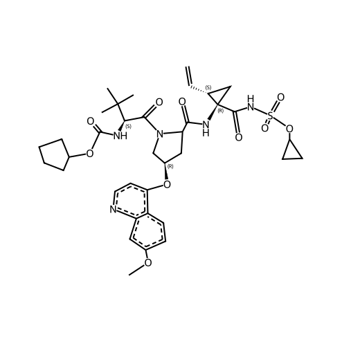 C=C[C@@H]1C[C@]1(NC(=O)C1C[C@@H](Oc2ccnc3cc(OC)ccc23)CN1C(=O)[C@@H](NC(=O)OC1CCCC1)C(C)(C)C)C(=O)NS(=O)(=O)OC1CC1